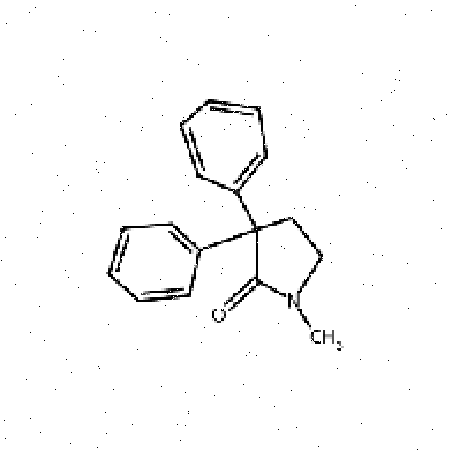 CN1CCC(c2ccccc2)(c2ccccc2)C1=O